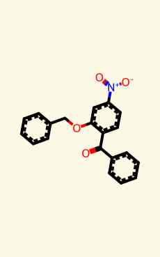 O=C(c1ccccc1)c1ccc([N+](=O)[O-])cc1OCc1ccccc1